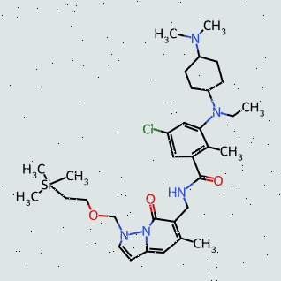 CCN(c1cc(Cl)cc(C(=O)NCc2c(C)cc3ccn(COCC[Si](C)(C)C)n3c2=O)c1C)C1CCC(N(C)C)CC1